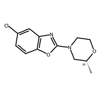 C[C@@H]1CN(c2nc3cc(Cl)ccc3o2)CCO1